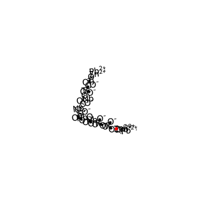 [O]=[Nb](=[O])[O-].[O]=[Nb](=[O])[O-].[O]=[Nb](=[O])[O-].[O]=[Nb](=[O])[O-].[O]=[Ti]([O-])[O-].[O]=[Ti]([O-])[O-].[O]=[Ti]([O-])[O-].[O]=[Ti]([O-])[O-].[Pb+2].[Pb+2].[Pb+2].[Zn+2].[Zn+2].[Zn+2]